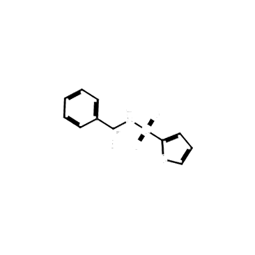 C[C@@H](NS(=O)(=O)c1cccs1)c1cc[c]cc1